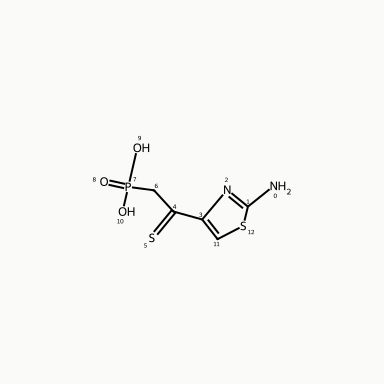 Nc1nc(C(=S)CP(=O)(O)O)cs1